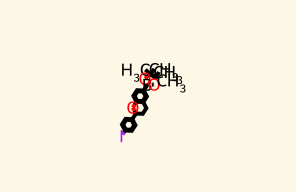 CC1(C)OB(c2ccc3c(c2)CCC(c2ccc(I)cc2)O3)OC1(C)C